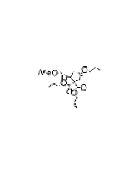 C=CCOC(=O)C1(C(=O)OCC=C)C[C@@H](OCC=C)CC1OCOC